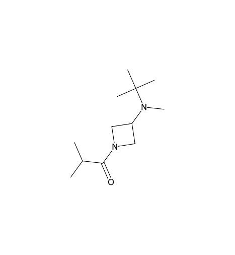 CC(C)C(=O)N1CC(N(C)C(C)(C)C)C1